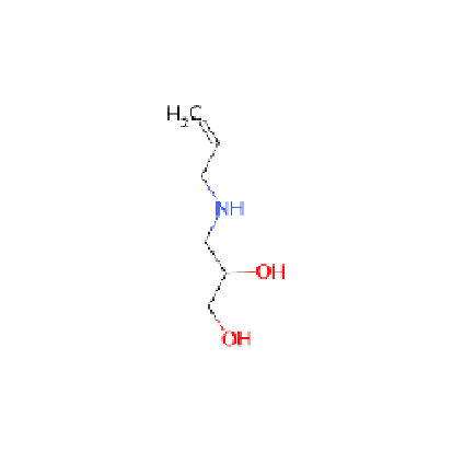 C=CCNCC(O)CO